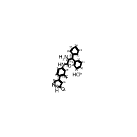 Cl.N[C@H](C(=O)Nc1ccc(-c2cn[nH]c(=O)c2)c(F)c1)C(c1ccccc1)c1ccccc1